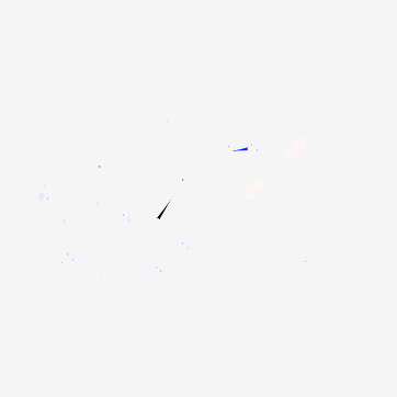 O=S(=O)(N[C@@H]1CCC[C@H](c2nnc3cnc4[nH]ccc4n23)C1)c1ccccc1